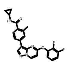 Cc1cc(-c2cnn3ccc(Oc4cccc(F)c4F)nc23)ccc1C(=O)NC1CC1